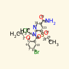 C=C(Cl)COc1ccc(Br)cc1CN(CC)c1ncc(C(N)=O)cc1S(=O)(=O)CCC